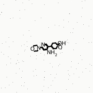 Nc1cc(N2CCOCC2)ncc1C1=CCI(=O)(O)CC1